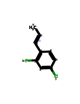 C/C=C/c1ccc(Cl)cc1F